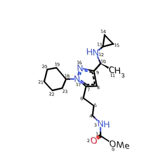 COC(=O)NCCCc1cc([C@H](C)NC2CC2)nn1C1CCCCC1